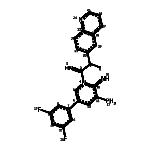 CC(C(=N)n1cc(-c2cc(F)cc(F)c2)cc(P)c1=N)c1ccc2ncccc2c1